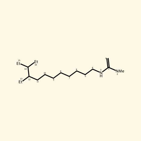 C=C(NC)NCCCCCCCCC(CC)C(CC)CC